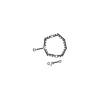 CC[s+]1cccccccc1.O=[N+]([O-])[O-]